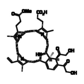 C=CC1=C(C)c2cc3[nH]c(cc4nc(cc5[nH]c(cc1n2)c(C)c5CCC(=O)OC)C(CCC(=O)O)=C4C)[C@]1(C)C3=CC=C(C(=O)CO)[C@@H]1C(=O)CO